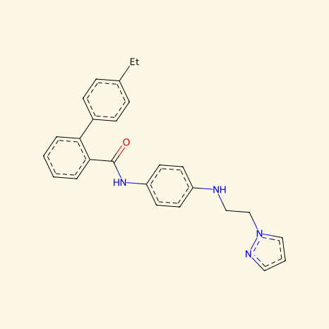 CCc1ccc(-c2ccccc2C(=O)Nc2ccc(NCCn3cccn3)cc2)cc1